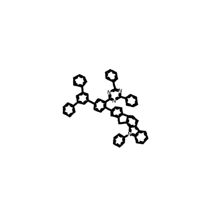 c1ccc(-c2cc(-c3ccccc3)cc(-c3ccc(-c4ccc5c(c4)Cc4c-5ccc5c6ccccc6n(-c6ccccc6)c45)c(-c4nc(-c5ccccc5)nc(-c5ccccc5)n4)c3)c2)cc1